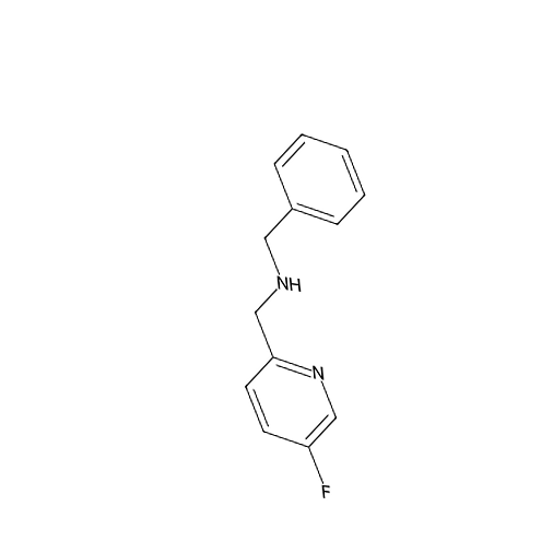 Fc1ccc(CNCc2ccccc2)nc1